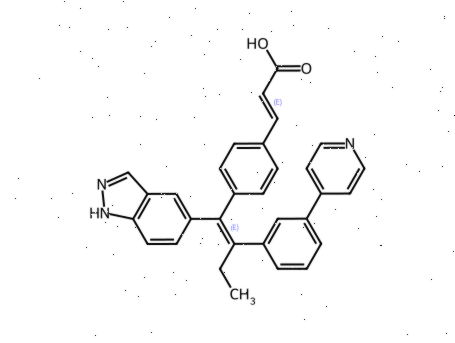 CC/C(=C(/c1ccc(/C=C/C(=O)O)cc1)c1ccc2[nH]ncc2c1)c1cccc(-c2ccncc2)c1